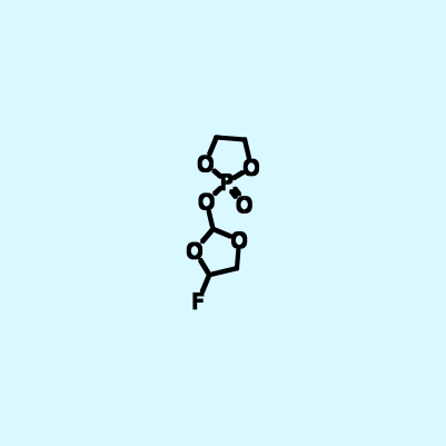 O=P1(OC2OCC(F)O2)OCCO1